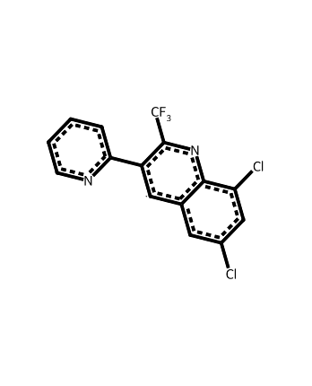 FC(F)(F)c1nc2c(Cl)cc(Cl)cc2[c]c1-c1ccccn1